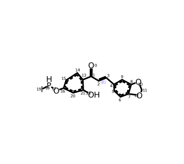 O=C(/C=C/c1ccc2c(c1)OCO2)c1ccc(OPI)cc1O